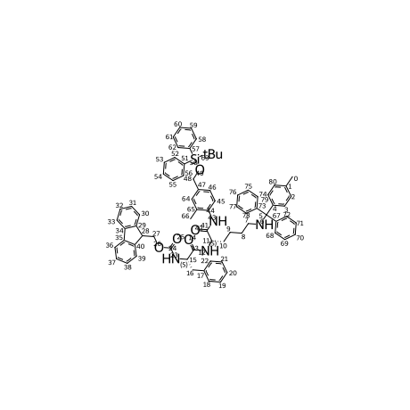 Cc1ccc(C(NCCCC[C@H](NC(=O)[C@H](Cc2ccccc2)NC(=O)OCC2c3ccccc3-c3ccccc32)C(=O)Nc2ccc(CO[Si](c3ccccc3)(c3ccccc3)C(C)(C)C)cc2C)(c2ccccc2)c2ccccc2)cc1